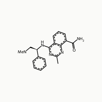 CNC[C@@H](Nc1nc(C)nc2c(C(N)=O)cccc12)c1ccccc1